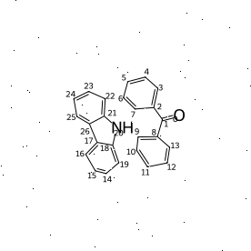 O=C(c1ccccc1)c1ccccc1.c1ccc2c(c1)[nH]c1ccccc12